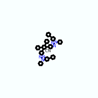 N#Cc1c(-c2ccc3nc4n(-c5ccccc5)c5ccc(-c6ccccc6)cc5n4c3c2)c(-c2ccccc2)cc(-c2ccccc2)c1-c1ccc2nc3n(-c4ccccc4)c4ccc(-c5ccccc5)cc4n3c2c1